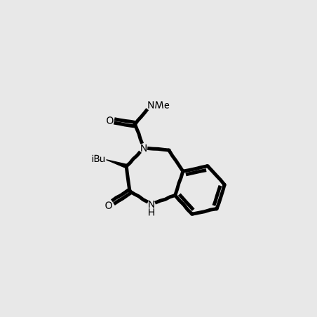 CC[C@H](C)C1C(=O)Nc2ccccc2CN1C(=O)NC